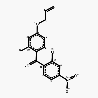 C=CCOc1ccc(C(=O)c2ccc([N+](=O)[O-])cc2Cl)c(C)c1